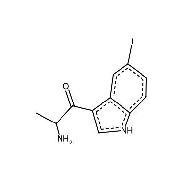 CC(N)C(=O)c1c[nH]c2ccc(I)cc12